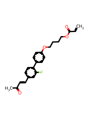 C=CC(=O)OCCCCOc1ccc(-c2ccc(/C=C/C(C)=O)cc2F)cc1